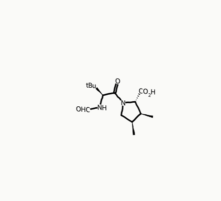 C[C@@H]1[C@@H](C(=O)O)N(C(=O)[C@@H](NC=O)C(C)(C)C)C[C@@H]1C